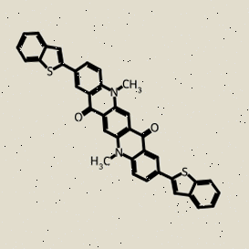 Cn1c2ccc(-c3cc4ccccc4s3)cc2c(=O)c2cc3c(cc21)c(=O)c1cc(-c2cc4ccccc4s2)ccc1n3C